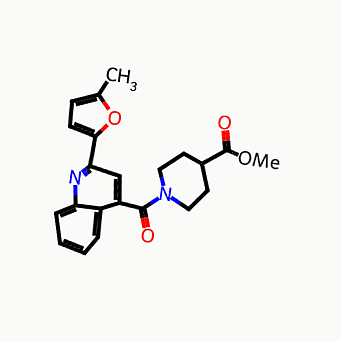 COC(=O)C1CCN(C(=O)c2cc(-c3ccc(C)o3)nc3ccccc23)CC1